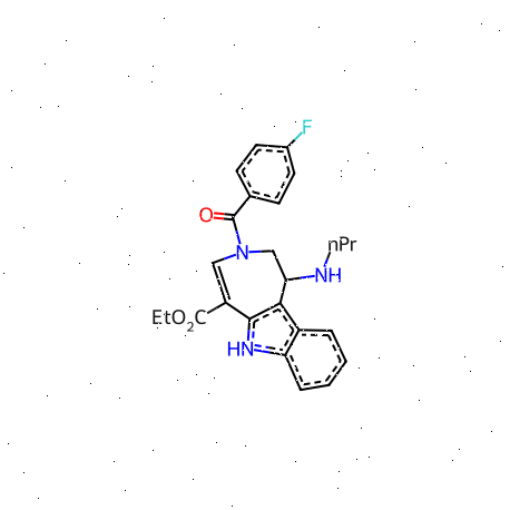 CCCNC1CN(C(=O)c2ccc(F)cc2)C=C(C(=O)OCC)c2[nH]c3ccccc3c21